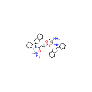 C[C@@H](N)CN(C(=O)/C=C/C(=O)OC(NC1(c2ccccc2)Cc2ccccc2C1)[C@@H](C)N)C1(c2ccccc2)Cc2ccccc2C1